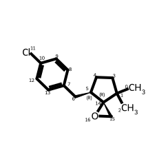 CC1(C)CC[C@H](Cc2ccc(Cl)cc2)[C@]12CO2